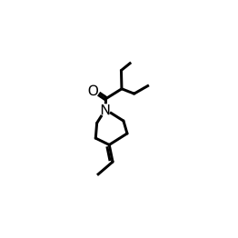 CC=C1CCN(C(=O)C(CC)CC)CC1